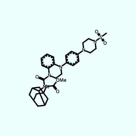 COC(=O)OC12CC3CC(C1)C(NC(=O)N1CCN(c4ccc(N5CCN(S(C)(=O)=O)CC5)cc4)c4ccccc41)C(C3)C2